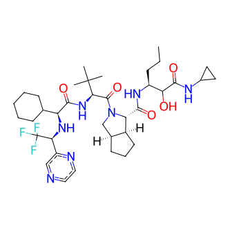 CCC[C@H](NC(=O)[C@@H]1[C@H]2CCC[C@H]2CN1C(=O)[C@@H](NC(=O)[C@@H](N[C@@H](c1cnccn1)C(F)(F)F)C1CCCCC1)C(C)(C)C)C(O)C(=O)NC1CC1